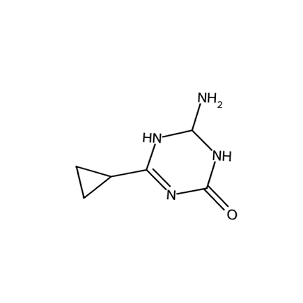 NC1NC(=O)N=C(C2CC2)N1